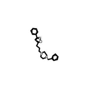 c1ccc(CN2CCN(CCCc3cc(-c4ccccc4)no3)CC2)cc1